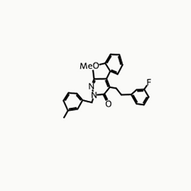 COc1ccccc1-c1c(C)nn(Cc2cccc(C)c2)c(=O)c1CCc1cccc(F)c1